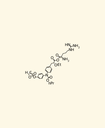 CCCOC(=O)N(c1ccc(CC(OCC)C(=O)OC(=O)[C@@H](N)CCCNC(=N)N)cc1)c1ccc(OS(C)(=O)=O)cc1